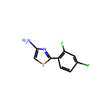 Nc1csc(-c2ccc(F)cc2F)n1